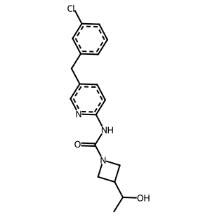 CC(O)C1CN(C(=O)Nc2ccc(Cc3cccc(Cl)c3)cn2)C1